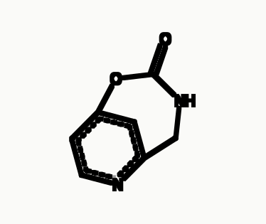 O=C1NCc2cc(ccn2)O1